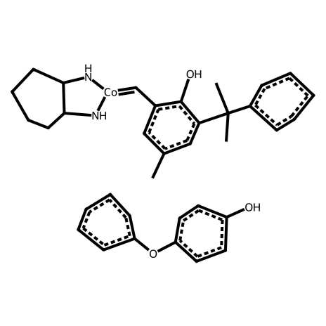 Cc1cc([CH]=[Co]2[NH]C3CCCCC3[NH]2)c(O)c(C(C)(C)c2ccccc2)c1.Oc1ccc(Oc2ccccc2)cc1